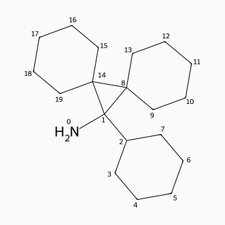 NC1(C2CCCCC2)C2(CCCCC2)C12CCCCC2